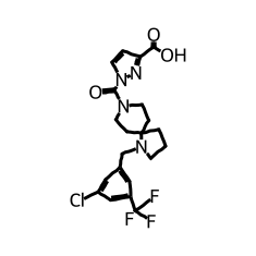 O=C(O)c1ccn(C(=O)N2CCC3(CCCN3Cc3cc(Cl)cc(C(F)(F)F)c3)CC2)n1